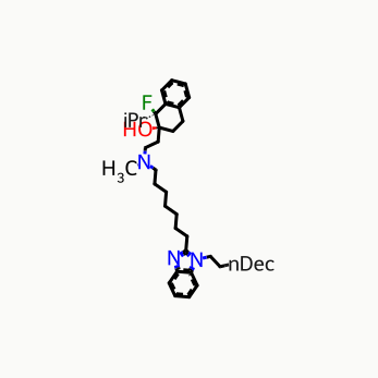 CCCCCCCCCCCCn1c(CCCCCCCN(C)CC[C@@]2(O)CCc3ccccc3[C@@]2(F)C(C)C)nc2ccccc21